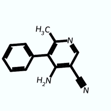 Cc1ncc(C#N)c(N)c1-c1ccccc1